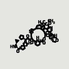 CCn1c(C2=C([C@H](C)OC)N=CC(N3CCN4CCOC[C@@H]4C3)C2)c2c3cc(ccc31)-c1csc(n1)C[C@H](NC(=O)[C@H](C1CCCC1)N1CC[C@]3(CCN(C(=O)[C@@H]4N[C@@H]4C4CC4)C3)C1)C(=O)N1CCC[C@H](N1)C(=O)OCC(C)(C)C2